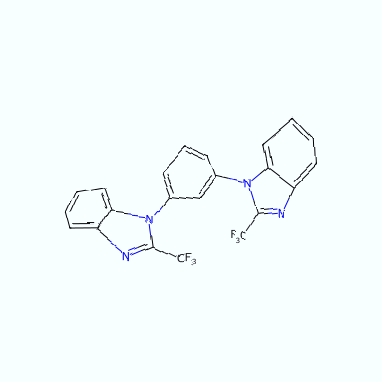 FC(F)(F)c1nc2ccccc2n1-c1cccc(-n2c(C(F)(F)F)nc3ccccc32)c1